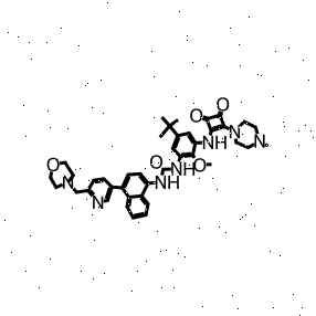 COc1c(NC(=O)Nc2ccc(-c3ccc(CN4CCOCC4)nc3)c3ccccc23)cc(C(C)(C)C)cc1Nc1c(N2CCN(C)CC2)c(=O)c1=O